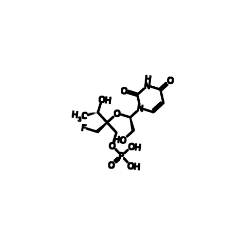 C[C@H](O)[C@@](CF)(COP(=O)(O)O)O[C@H](CO)n1ccc(=O)[nH]c1=O